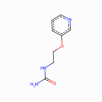 NC(=O)NCCOc1cccnc1